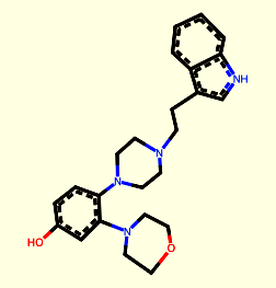 Oc1ccc(N2CCN(CCc3c[nH]c4ccccc34)CC2)c(N2CCOCC2)c1